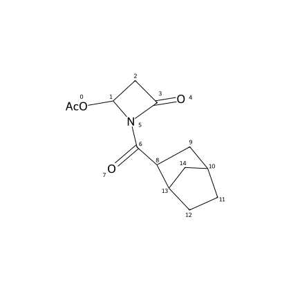 CC(=O)OC1CC(=O)N1C(=O)C1CC2CCC1C2